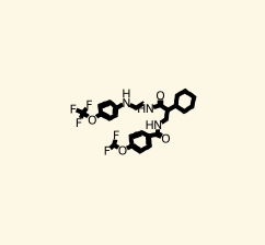 O=C(NCC(C(=O)NCCNc1ccc(OC(F)(F)F)cc1)C1CCCCC1)c1ccc(OC(F)F)cc1